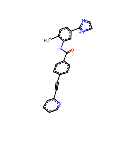 Cc1ccc(-c2ncc[nH]2)cc1NC(=O)c1ccc(C#Cc2ccccn2)cc1